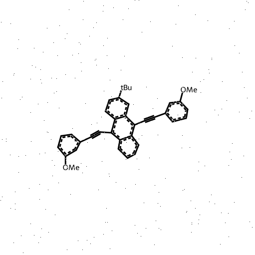 COc1cccc(C#Cc2c3ccccc3c(C#Cc3cccc(OC)c3)c3cc(C(C)(C)C)ccc23)c1